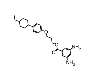 CCC1CCC(c2ccc(OCCCOC(=O)c3cc(N)cc(N)c3)cc2)CC1